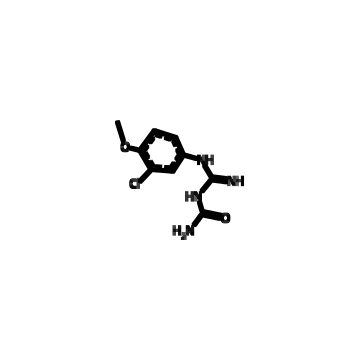 COc1ccc(NC(=N)NC(N)=O)cc1Cl